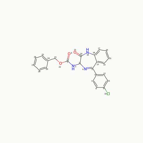 O=C(NC1N=C(c2ccc(Cl)cc2)c2ccccc2NC1=O)OCc1ccccc1